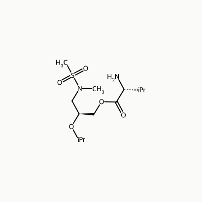 CC(C)O[C@H](COC(=O)[C@H](N)C(C)C)CN(C)S(C)(=O)=O